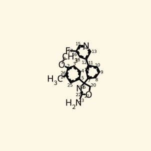 COc1ccc(C2(c3cccc(-c4cncc(F)c4)c3)COC(N)=N2)cc1C